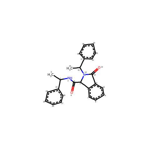 CC(NC(=O)C1c2ccccc2C(=O)N1C(C)c1ccccc1)c1ccccc1